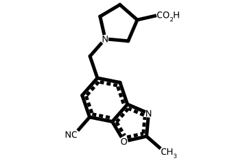 Cc1nc2cc(CN3CCC(C(=O)O)C3)cc(C#N)c2o1